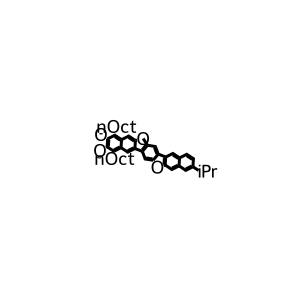 CCCCCCCCOc1cc2cc3oc4cc5c(cc4c3cc2cc1OCCCCCCCC)oc1cc2cc(C(C)C)ccc2cc15